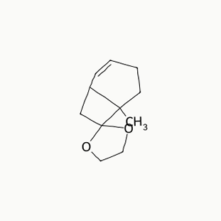 CC12CCC=CC1CC21OCCO1